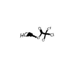 C#COC(=O)C(Cl)(Cl)Cl